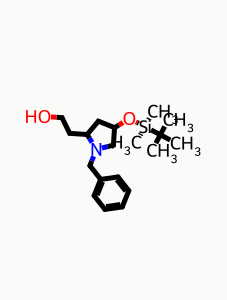 CC(C)(C)[Si](C)(C)OC1CC(CCO)N(Cc2ccccc2)C1